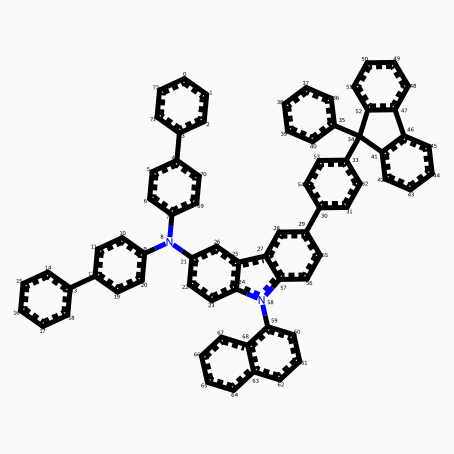 c1ccc(-c2ccc(N(c3ccc(-c4ccccc4)cc3)c3ccc4c(c3)c3cc(-c5ccc(C6(c7ccccc7)c7ccccc7-c7ccccc76)cc5)ccc3n4-c3cccc4ccccc34)cc2)cc1